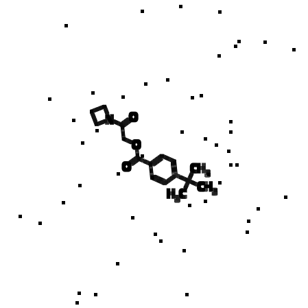 CC(C)(C)c1ccc(C(=O)OCC(=O)N2CCC2)cc1